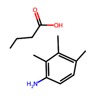 CCCC(=O)O.Cc1ccc(N)c(C)c1C